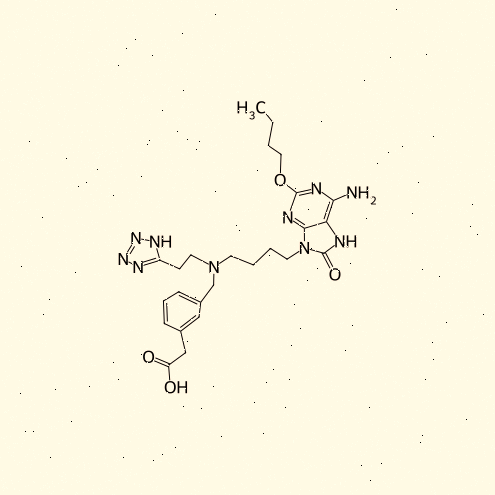 CCCCOc1nc(N)c2[nH]c(=O)n(CCCCN(CCc3nnn[nH]3)Cc3cccc(CC(=O)O)c3)c2n1